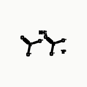 O=[N+]([O-])[O-].O=[N+]([O-])[O-].[NH4+].[Tl+]